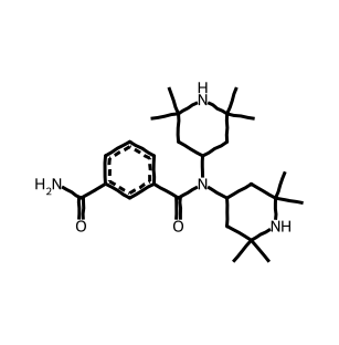 CC1(C)CC(N(C(=O)c2cccc(C(N)=O)c2)C2CC(C)(C)NC(C)(C)C2)CC(C)(C)N1